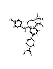 CCC(=O)N1CC=C(c2ccc3c(c2)C(Nc2ccc(Cl)cc2)CCN2C3=C(C)NN2C)CC1